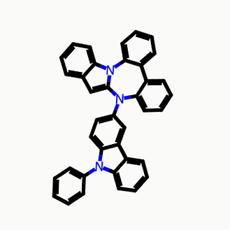 c1ccc(-n2c3ccccc3c3cc(N4c5ccccc5-c5ccccc5-n5c4cc4ccccc45)ccc32)cc1